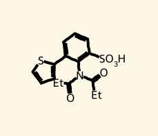 CCC(=O)N(C(=O)CC)c1c(-c2cccs2)cccc1S(=O)(=O)O